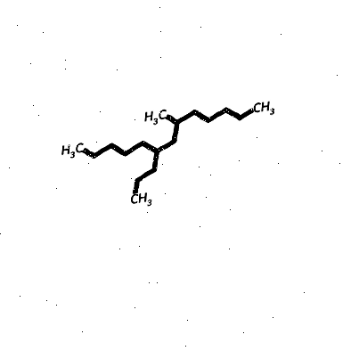 CCCCCC(C)CC(CCC)CCCCC